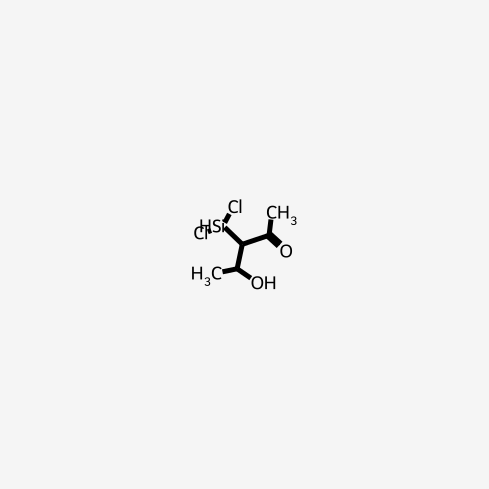 CC(=O)C(C(C)O)[SiH](Cl)Cl